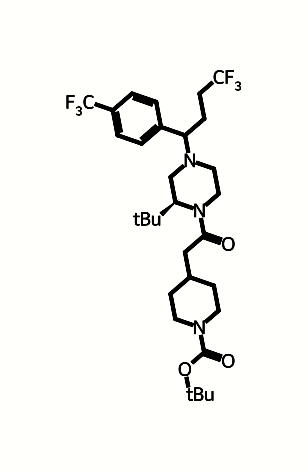 CC(C)(C)OC(=O)N1CCC(CC(=O)N2CCN(C(CCC(F)(F)F)c3ccc(C(F)(F)F)cc3)C[C@@H]2C(C)(C)C)CC1